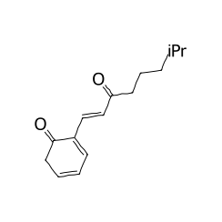 CC(C)CCCC(=O)C=CC1=CC=CCC1=O